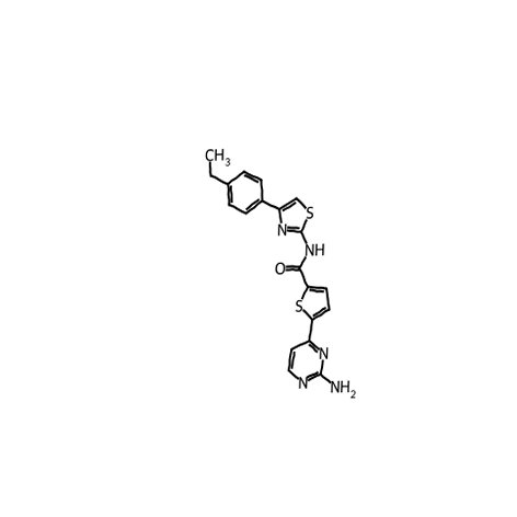 CCc1ccc(-c2csc(NC(=O)c3ccc(-c4ccnc(N)n4)s3)n2)cc1